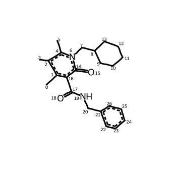 Cc1c(C)c(C)n(CC2CCCCC2)c(=O)c1C(=O)NCc1ccccc1